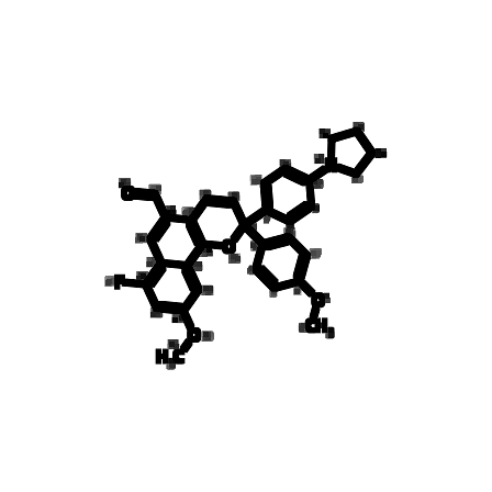 COc1ccc(C2(c3ccc(N4CCCC4)cc3)C=Cc3c(C=O)cc4c(F)cc(OC)cc4c3O2)cc1